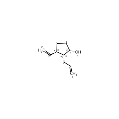 C=CC[C@H]1[C@@H](O)CC[C@@H]1C=C